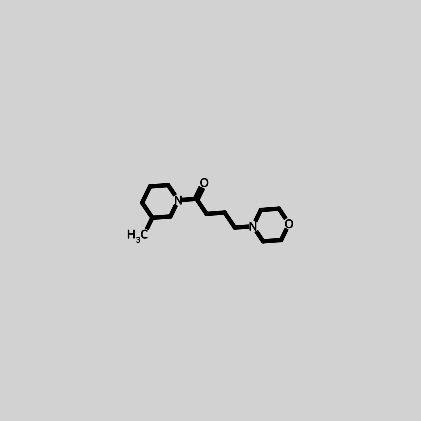 CC1CCCN(C(=O)CCCN2CCOCC2)C1